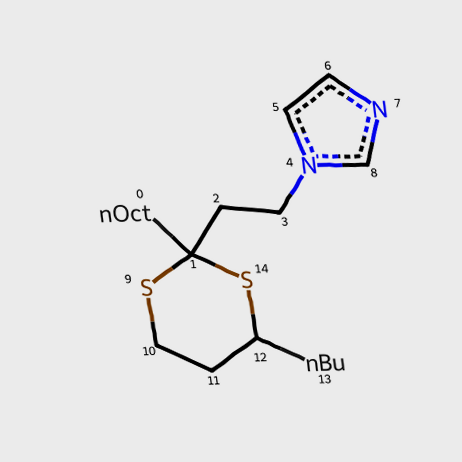 CCCCCCCCC1(CCn2ccnc2)SCCC(CCCC)S1